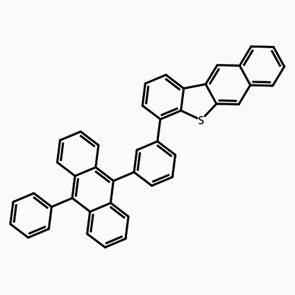 c1ccc(-c2c3ccccc3c(-c3cccc(-c4cccc5c4sc4cc6ccccc6cc45)c3)c3ccccc23)cc1